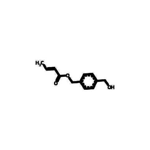 CC=CC(=O)OCc1ccc(CO)cc1